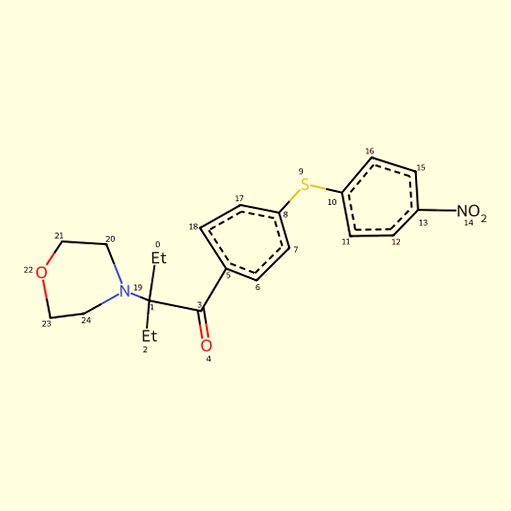 CCC(CC)(C(=O)c1ccc(Sc2ccc([N+](=O)[O-])cc2)cc1)N1CCOCC1